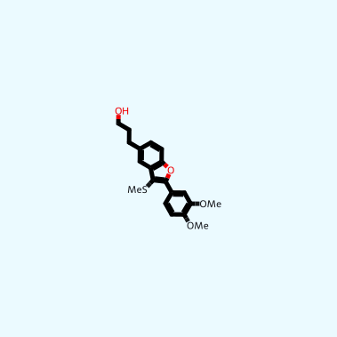 COc1ccc(-c2oc3ccc(CCCO)cc3c2SC)cc1OC